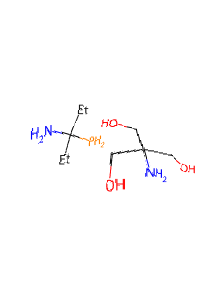 CCC(N)(P)CC.NC(CO)(CO)CO